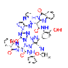 [C-]#[N+]c1cnn(-c2nc(O)nc(-n3ncc(C#N)c3N=NC(C(=O)Nc3ccccc3OC)c3nc4ccccc4c(=O)[nH]3)n2)c1N=NC(C(=O)Nc1ccccc1CO)c1nc2ccccc2c(=O)[nH]1